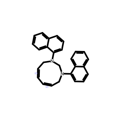 C1=C\CN(c2cccc3ccccc23)CN(c2cccc3ccccc23)C\C=C/1